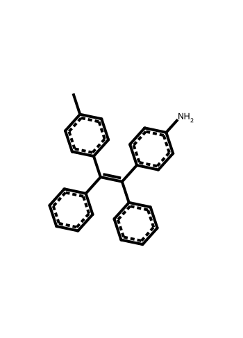 Cc1ccc(C(=C(c2ccccc2)c2ccc(N)cc2)c2ccccc2)cc1